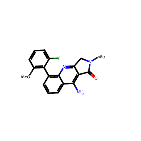 CCCCN1Cc2nc3c(-c4c(F)cccc4OC)cccc3c(N)c2C1=O